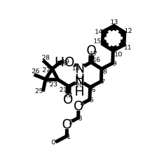 CCOCOCC(CC(Cc1ccccc1)C(=O)NO)NC(=O)C1C(C)(C)C1(C)C